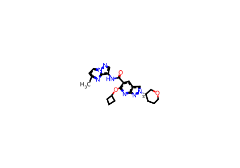 Cc1ccn2ncc(NC(=O)c3cc4cn([C@H]5CCCOC5)nc4nc3OC3CCC3)c2n1